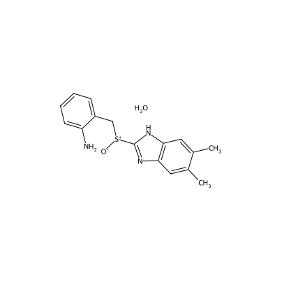 Cc1cc2nc([S+]([O-])Cc3ccccc3N)[nH]c2cc1C.O